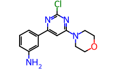 Nc1cccc(-c2cc(N3CCOCC3)nc(Cl)n2)c1